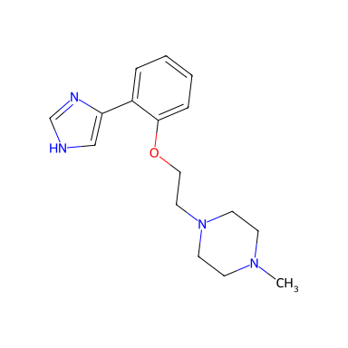 CN1CCN(CCOc2ccccc2-c2c[nH]cn2)CC1